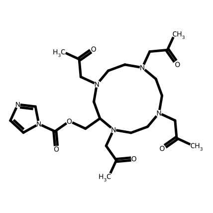 CC(=O)CN1CCN(CC(C)=O)CCN(CC(C)=O)C(COC(=O)n2ccnc2)CN(CC(C)=O)CC1